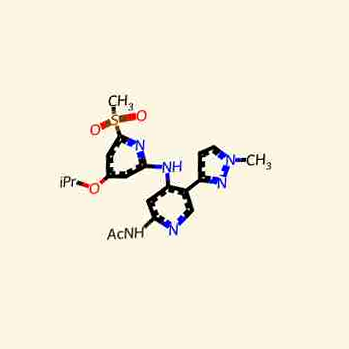 CC(=O)Nc1cc(Nc2cc(OC(C)C)cc(S(C)(=O)=O)n2)c(-c2ccn(C)n2)cn1